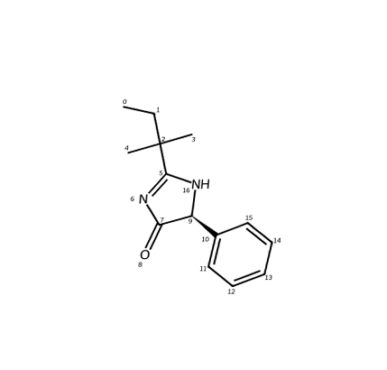 CCC(C)(C)C1=NC(=O)[C@H](c2ccccc2)N1